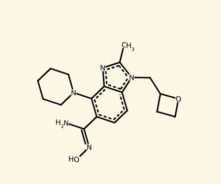 Cc1nc2c(N3CCCCC3)c(C(N)=NO)ccc2n1CC1CCO1